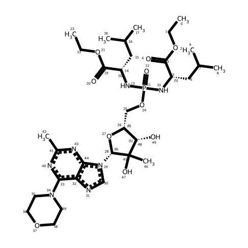 CCOC(=O)[C@H](CC(C)C)NP(=O)(N[C@@H](CC(C)C)C(=O)OCC)OC[C@H]1O[C@@H](n2cnc3c(N4CCOCC4)nc(C)nc32)C(C)(O)[C@H]1O